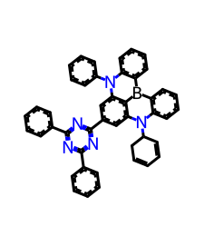 C1=CCC(N2c3ccccc3B3c4ccccc4N(c4ccccc4)c4cc(-c5nc(-c6ccccc6)nc(-c6ccccc6)n5)cc2c43)C=C1